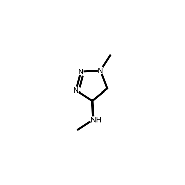 CNC1CN(C)N=N1